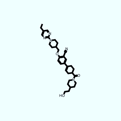 CCc1cnc(N2CCC(COc3ccc(C4=CCC(C(=O)N5CCC(CCO)CC5)CC4)cc3C#N)CC2)nc1